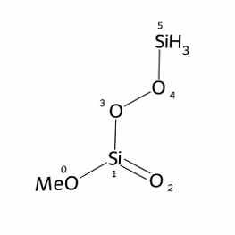 CO[Si](=O)OO[SiH3]